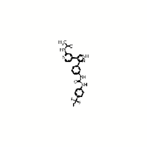 CC(=O)Nc1cc(-c2c[nH]nc2-c2cccc(NC(=O)Nc3ccc(C(F)(F)F)cc3)c2)ccn1